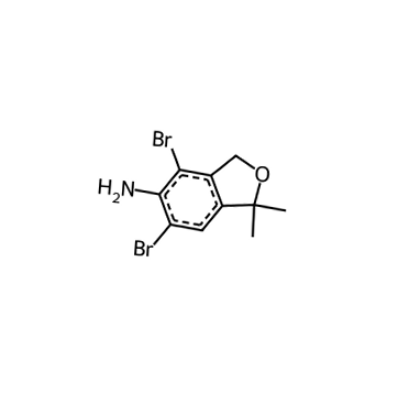 CC1(C)OCc2c1cc(Br)c(N)c2Br